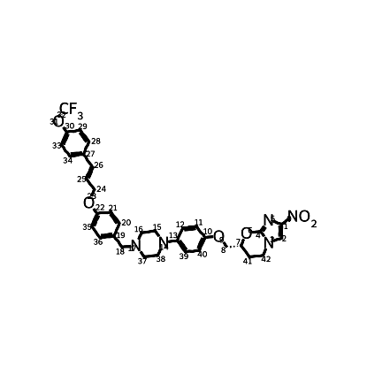 O=[N+]([O-])c1cn2c(n1)O[C@@H](COc1ccc(N3CCN(Cc4ccc(OC/C=C/c5ccc(OC(F)(F)F)cc5)cc4)CC3)cc1)CC2